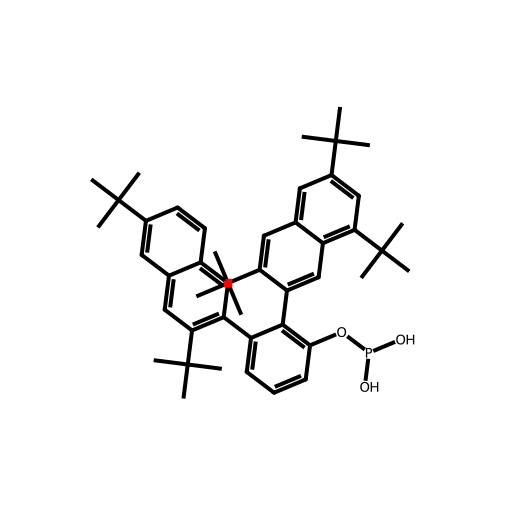 CC(C)(C)c1ccc2cc(-c3cccc(OP(O)O)c3-c3cc4c(C(C)(C)C)cc(C(C)(C)C)cc4cc3C(C)(C)C)c(C(C)(C)C)cc2c1